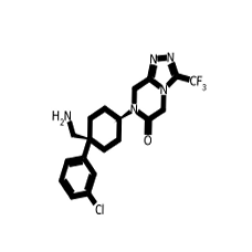 NC[C@]1(c2cccc(Cl)c2)CC[C@H](N2Cc3nnc(C(F)(F)F)n3CC2=O)CC1